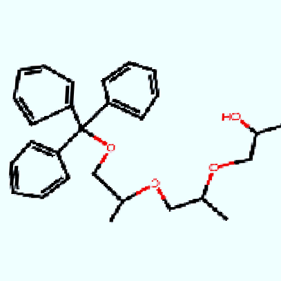 CC(O)COC(C)COC(C)COC(c1ccccc1)(c1ccccc1)c1ccccc1